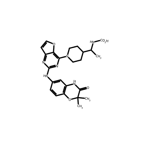 CC(NC(=O)O)C1CCN(c2nc(Nc3ccc4c(c3)NC(=O)C(C)(C)O4)nc3ccoc23)CC1